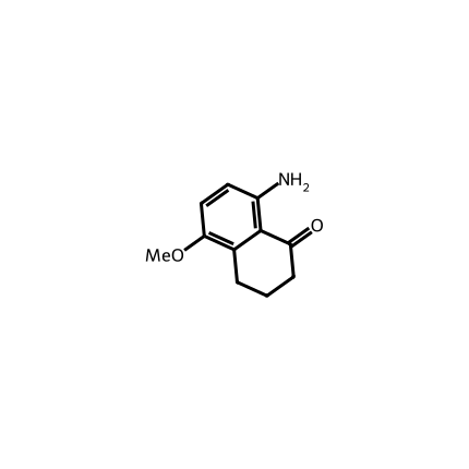 COc1ccc(N)c2c1CCCC2=O